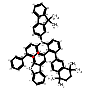 CC1(C)CCC(C)(C)c2cc(-c3cccc(N(c4ccc(-c5ccccc5)cc4)c4ccc5c(c4)C(C)(C)c4ccccc4-5)c3-c3ccc4oc5ccccc5c4c3)ccc21